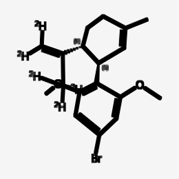 [2H]C([2H])=C([C@@H]1CCC(C)=C[C@H]1c1c(OC)cc(Br)cc1OC)C([2H])([2H])[2H]